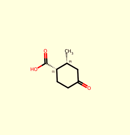 C[C@@H]1CC(=O)CC[C@@H]1C(=O)O